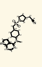 CN(c1ncnc2[nH]ccc12)C1CCC(CS(=O)(=O)N2CC[C@@H](CC#N)C2)CC1